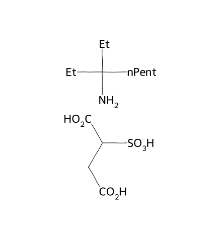 CCCCCC(N)(CC)CC.O=C(O)CC(C(=O)O)S(=O)(=O)O